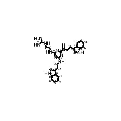 N=C(N)NCCNc1nc(NCCc2c[nH]c3ccccc23)nc(NCCC2CNc3ccccc32)n1